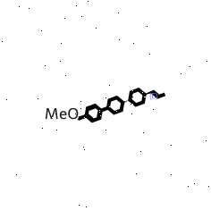 C/C=C/[C@H]1CC[C@H](C2CCC(c3ccc(COC)cc3)CC2)CC1